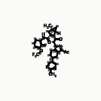 CC(=O)c1nn(CC(=O)N2[C@H](C(=O)Nc3cccc(OC(F)(F)F)c3F)C[C@@]3(C)C[C@@H]23)c2ccc(-c3cnc(C)nc3)cc12